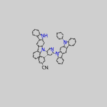 N#Cc1cccc(-c2cc(-n3c4ccccc4c4cc5c6ccccc6n(-c6ccccc6)c5cc43)ncc2-n2c3ccccc3c3cc4c(cc32)[nH]c2ccccc24)c1